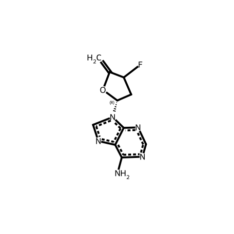 C=C1O[C@@H](n2cnc3c(N)ncnc32)CC1F